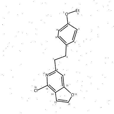 CCOc1ccc(CCc2cc3occc3c(Cl)n2)cc1